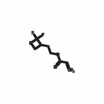 C=CC(=O)OCCC1COC1(F)F